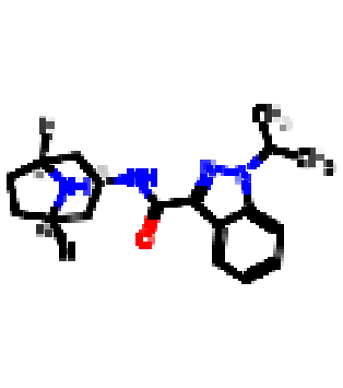 CC(C)n1nc(C(=O)N[C@@H]2C[C@H]3CC[C@@H](C2)N3)c2ccccc21